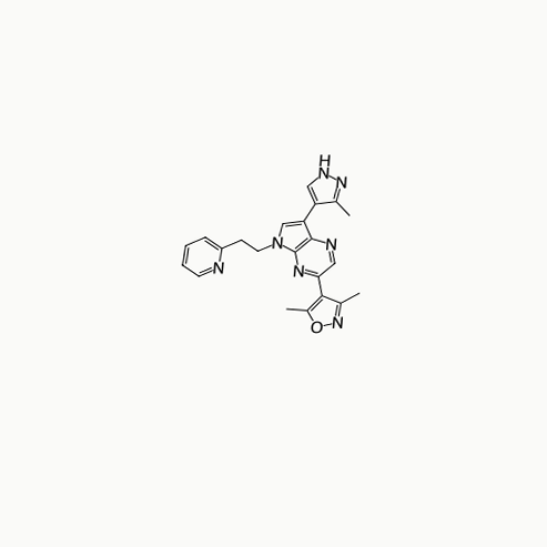 Cc1n[nH]cc1-c1cn(CCc2ccccn2)c2nc(-c3c(C)noc3C)cnc12